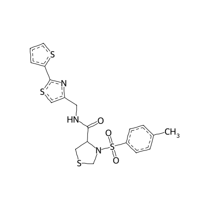 Cc1ccc(S(=O)(=O)N2CSCC2C(=O)NCc2csc(-c3cccs3)n2)cc1